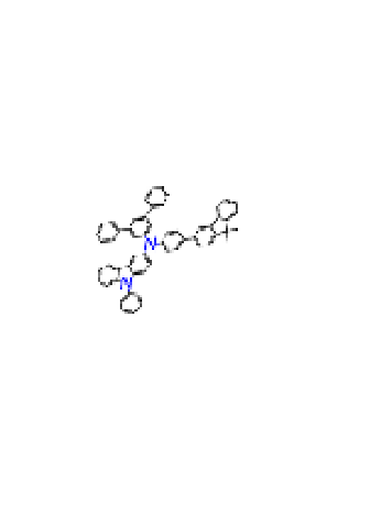 CC1(C)c2ccccc2-c2cc(-c3ccc(N(c4cc(-c5ccccc5)cc(-c5ccccc5)c4)c4ccc5c(c4)c4ccccc4n5-c4ccccc4)cc3)ccc21